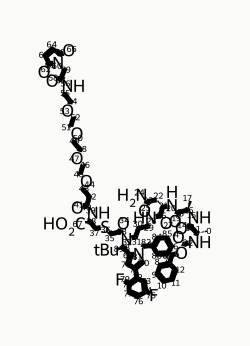 C[C@H](NC(=O)OCc1ccccc1)C(=O)N[C@H](C)C(=O)N[C@@H](CC(N)=O)C(=O)NCCCN(C(=O)CSC[C@H](NC(=O)CCOCCOCCOCCOCCNC(=O)CN1C(=O)C=CC1=O)C(=O)O)[C@@H](c1cc(-c2cc(F)ccc2F)cn1Cc1ccccc1)C(C)(C)C